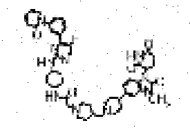 Cn1c(=O)n(C2CCC(=O)NC2=O)c2ccc(C3CCN(CC4CCN(CC(=O)N[C@H]5CC[C@H](Nc6ncc(F)c(-c7cccc(-n8ccccc8=O)c7)n6)CC5)CC4)CC3)cc21